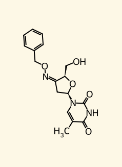 Cc1cn([C@H]2CC(=NOCc3ccccc3)[C@@H](CO)O2)c(=O)[nH]c1=O